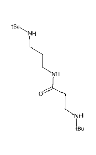 CC(C)(C)NCCCNC(=O)CCNC(C)(C)C